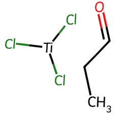 CCC=O.[Cl][Ti]([Cl])[Cl]